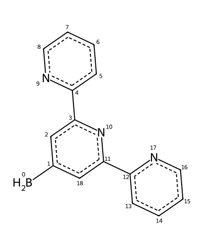 Bc1cc(-c2ccccn2)nc(-c2ccccn2)c1